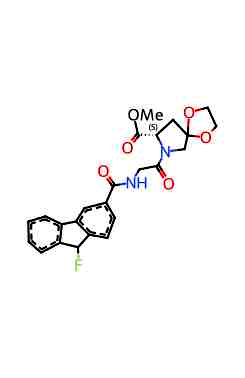 COC(=O)[C@@H]1CC2(CN1C(=O)CNC(=O)c1ccc3c(c1)-c1ccccc1C3F)OCCO2